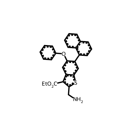 CCOC(=O)c1c(CN)sc2cc(-c3cccc4ccccc34)c(Oc3ccccc3)cc12